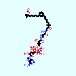 CC(C)(CCCCCc1cccc(CCCCCC2(OC=O)CC2)c1)C(=O)CCNC(=O)CCNC(=O)C(O)C(C)(C)COP(=O)(O)OP(=O)(O)OCC1OC(n2cnc3c(N)ncnc32)C(O)C1OP(=O)(O)O